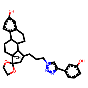 CC12CCC3c4ccc(O)cc4CCC3C1C(CCCn1cc(-c3cccc(O)c3)nn1)CC21OCCO1